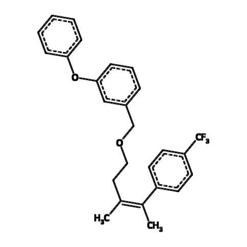 CC(CCOCc1cccc(Oc2ccccc2)c1)=C(C)c1ccc(C(F)(F)F)cc1